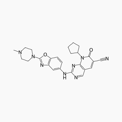 CN1CCN(c2nc3cc(Nc4ncc5cc(C#N)c(=O)n(C6CCCC6)c5n4)ccc3o2)CC1